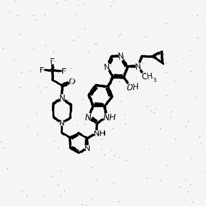 CN(CC1CC1)c1ncnc(-c2ccc3nc(Nc4cc(CN5CCN(C(=O)CC(F)(F)F)CC5)ccn4)[nH]c3c2)c1O